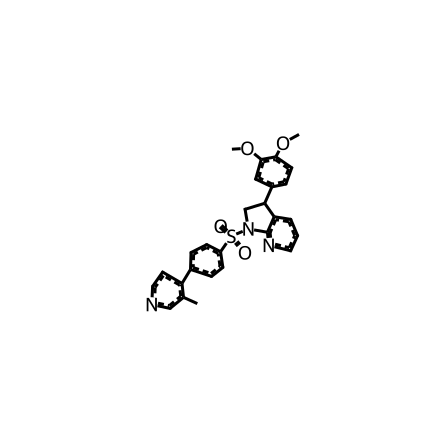 COc1ccc(C2CN(S(=O)(=O)c3ccc(-c4ccncc4C)cc3)c3ncccc32)cc1OC